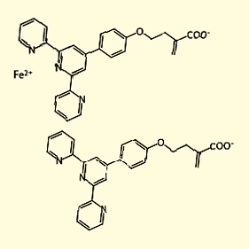 C=C(CCOc1ccc(-c2cc(-c3ccccn3)nc(-c3ccccn3)c2)cc1)C(=O)[O-].C=C(CCOc1ccc(-c2cc(-c3ccccn3)nc(-c3ccccn3)c2)cc1)C(=O)[O-].[Fe+2]